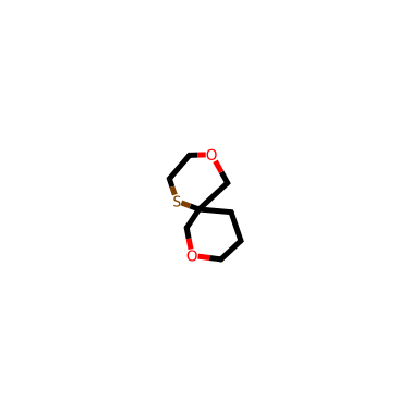 C1COCC2(C1)COCCS2